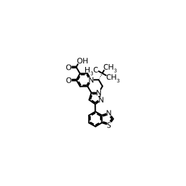 CC(C)(C)[C@@H]1Cn2nc(-c3cccc4scnc34)cc2-c2cc(=O)c(C(=O)O)cn21